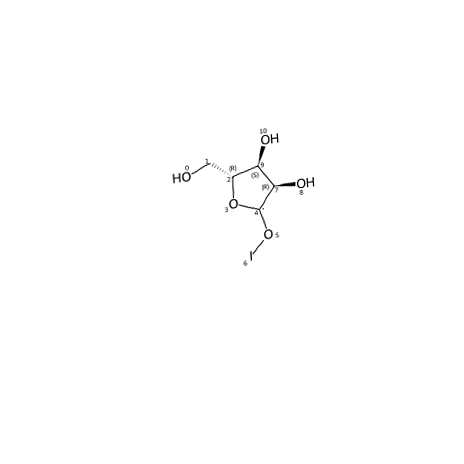 OC[C@H]1O[C](OI)[C@H](O)[C@@H]1O